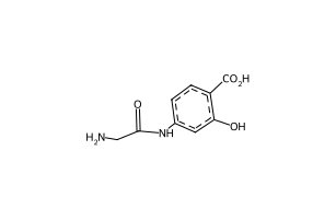 NCC(=O)Nc1ccc(C(=O)O)c(O)c1